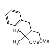 COCC(Cc1ccccc1)C(C)(C)OC